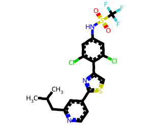 CC(C)Cc1cc(-c2nc(-c3c(Cl)cc(NS(=O)(=O)C(F)(F)F)cc3Cl)cs2)ccn1